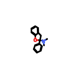 CN(C)C1(c2ccccc2)Cc2ccccc2O1